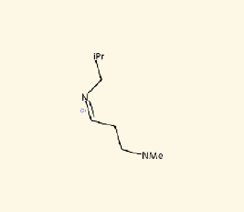 CNCC/C=N\CC(C)C